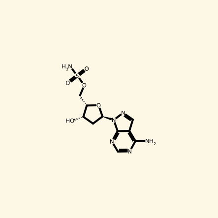 Nc1ncnc2c1cnn2[C@H]1C[C@H](O)[C@H](COS(N)(=O)=O)O1